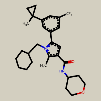 Cc1c(C(=O)NC2CCOCC2)cc(-c2cc(C(F)(F)F)cc(C3(C)CC3)c2)n1CC1CCCCC1